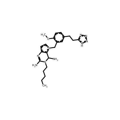 CCCCCN1C(N)=Nc2ccn(Cc3cc(CCc4nnn[nH]4)ccc3OC)c2C1N